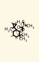 CN(C)C(=O)O[C@@]1(C2(C)CC2)CCCC(C)(C)C1=O